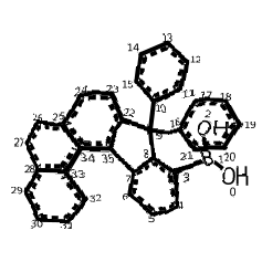 OB(O)c1cccc2c1C(c1ccccc1)(c1ccccc1)c1ccc3ccc4ccccc4c3c1-2